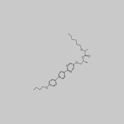 CCCCCCOC(C)C(=O)O[C@@H](C)COc1cnc(-c2ccc(-c3ccc(OCCCC)cc3)cc2)nc1